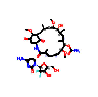 COC1=C2C[C@@H](C)C[C@H](OC)[C@H](O)[C@@H](C)/C=C(\C)[C@H](OC(N)=O)[C@@H](OC)/C=C\C=C(/C)C(=O)NC(=CC1=O)C2=O.Nc1ccn([C@@H]2O[C@H](CO)[C@@H](O)C2(F)F)c(=O)n1